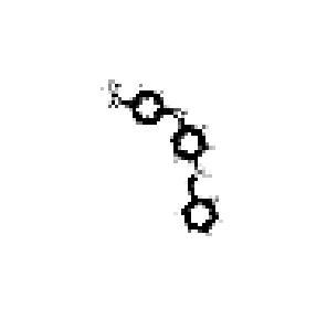 CCOc1ccc(Oc2ccc(N=Cc3ccccc3)cc2)cc1